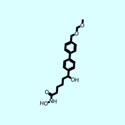 COCOCc1ccc(-c2ccc(C(O)CCCCC(=O)NO)cc2)cc1